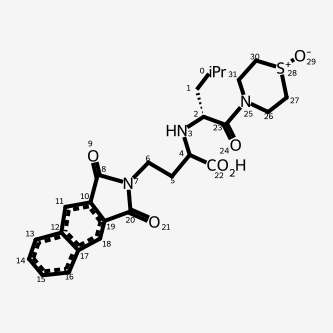 CC(C)C[C@@H](NC(CCN1C(=O)c2cc3ccccc3cc2C1=O)C(=O)O)C(=O)N1CC[S+]([O-])CC1